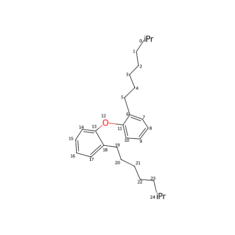 CC(C)CCCCCc1ccccc1Oc1ccccc1CCCCCC(C)C